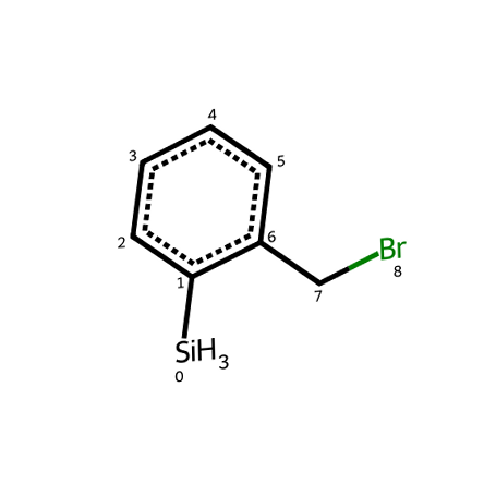 [SiH3]c1ccccc1CBr